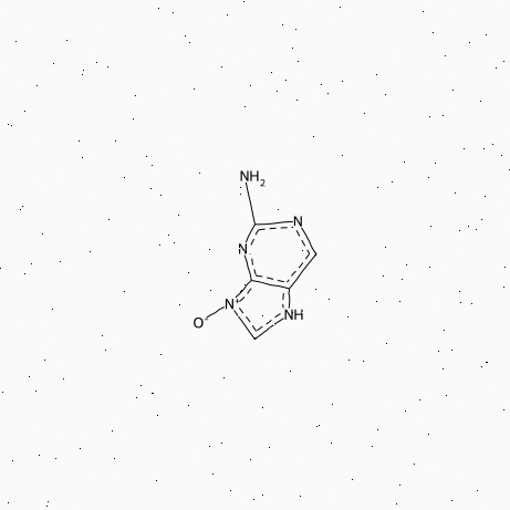 Nc1ncc2[nH]c[n+]([O-])c2n1